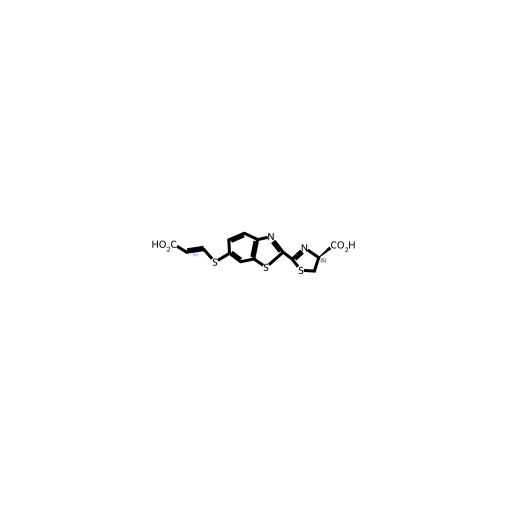 O=C(O)/C=C/Sc1ccc2nc(C3=N[C@@H](C(=O)O)CS3)sc2c1